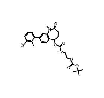 Cc1c(Br)cccc1-c1ccc2c(c1)N(C)C(=O)CCC2OC(=O)NCCOC(=O)OC(C)(C)C